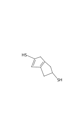 SC1=CC2=C(C1)CC(S)C2